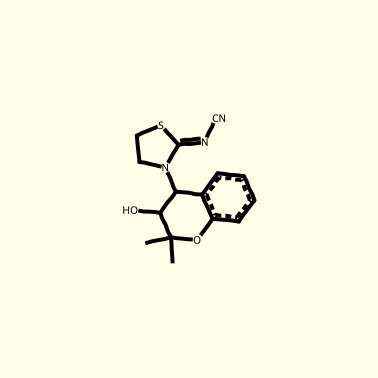 CC1(C)Oc2ccccc2C(N2CCSC2=NC#N)C1O